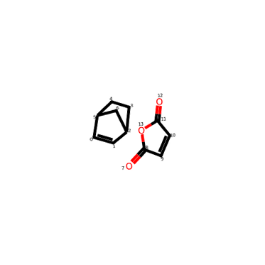 C1=CC2CCC1C2.O=C1C=CC(=O)O1